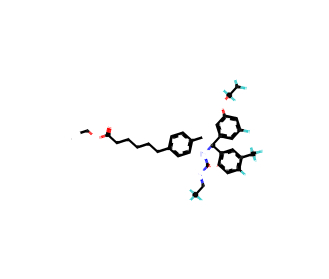 CCOC(=O)CCCCCc1ccc(C[C@](NC(=O)NCC(F)(F)F)(c2cc(F)cc(OC(F)(F)C(F)F)c2)c2ccc(F)c(C(F)(F)F)c2)cc1